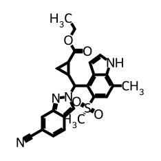 CCOC(=O)C1CC1C(c1c(S(C)(=O)=O)cc(C)c2[nH]ccc12)n1cc2ccc(C#N)cc2n1